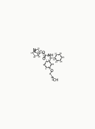 C#CCOc1cccc(C(NC(=O)OC2CN3CCC2CC3)c2ccccc2)c1